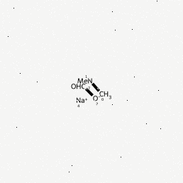 CNC.O=C[O-].[Na+]